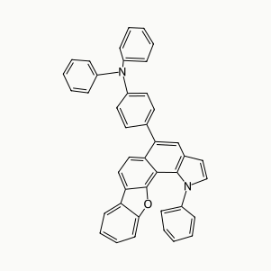 c1ccc(N(c2ccccc2)c2ccc(-c3cc4ccn(-c5ccccc5)c4c4c3ccc3c5ccccc5oc34)cc2)cc1